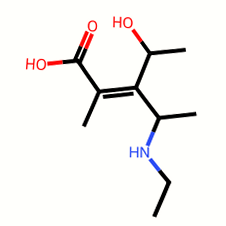 CCNC(C)/C(=C(\C)C(=O)O)C(C)O